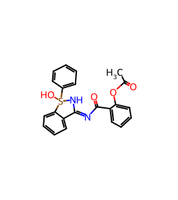 CC(=O)Oc1ccccc1C(=O)N=C1NS(O)(c2ccccc2)c2ccccc21